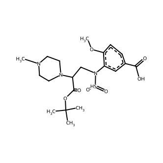 COc1ccc(C(=O)O)cc1N(CC(C(=O)OC(C)(C)C)N1CCN(C)CC1)[SH](=O)=O